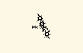 COc1c[n+](-c2ccc(C)cc2C)ccc1-c1cc[n+](-c2ccc(C)cc2C)cc1